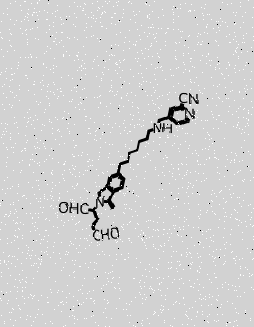 C=C1c2ccc(CCCCCCCNCc3ccnc(C#N)c3)cc2CN1C(C=O)CCC=O